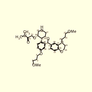 COCCCOc1ccc([C@@H]2[C@@H](OCc3ccc4c(c3)N(CCCOC)CCO4)CNC[C@H]2OCC(=O)N(C)C)cc1